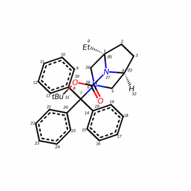 CC[C@@]12CC[C@@H](CN(C(c3ccccc3)(c3ccccc3)c3ccccc3)C1)N2C(=O)OC(C)(C)C